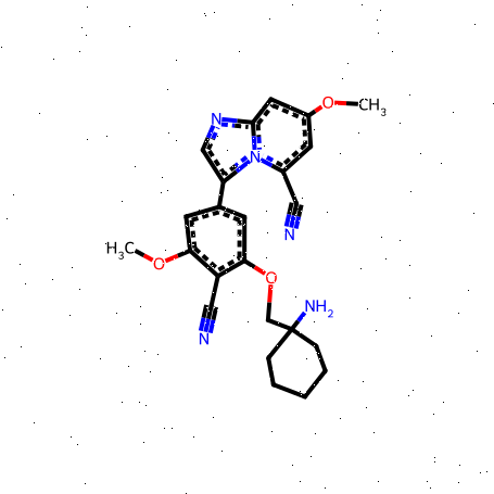 COc1cc(C#N)n2c(-c3cc(OC)c(C#N)c(OCC4(N)CCCCC4)c3)cnc2c1